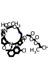 CC(C)COC(=O)OC(=O)CO[C@H]1/C=C/COC(C)(C)C(=O)NS(=O)(=O)c2ccc3c(c2)N(C[C@@H]2CC[C@H]21)C[C@@]1(CCCc2cc(Cl)ccc21)CO3